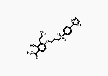 CCCc1c(OCCCS(=O)(=O)c2ccc(-c3nnn[nH]3)cc2)ccc(C(C)=O)c1O